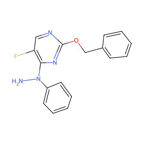 NN(c1ccccc1)c1nc(OCc2ccccc2)ncc1F